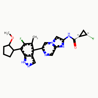 COC1CCCC1c1c(F)c(C)c(-c2cn3cc(NC(=O)[C@@H]4C[C@@H]4F)nc3cn2)c2cn[nH]c12